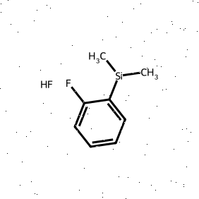 C[Si](C)c1ccccc1F.F